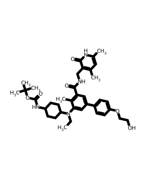 CCN(c1cc(-c2ccc(OCCO)cc2)cc(C(=O)NCc2c(C)cc(C)[nH]c2=O)c1C)C1CCC(NC(=O)OC(C)(C)C)CC1